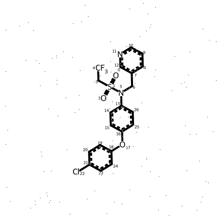 O=S(=O)(CC(F)(F)F)N(Cc1cccnc1)c1ccc(Oc2ccc(Cl)cc2)cc1